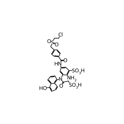 Nc1c(N(C(=O)CS(=O)(=O)O)c2cccc3c(O)cccc23)cc(NC(=O)c2ccc(CS(=O)(=O)CCCl)cc2)cc1S(=O)(=O)O